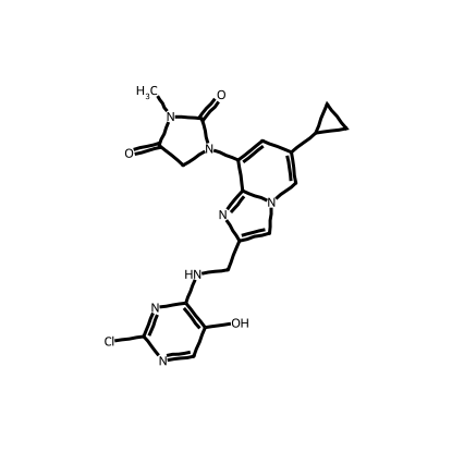 CN1C(=O)CN(c2cc(C3CC3)cn3cc(CNc4nc(Cl)ncc4O)nc23)C1=O